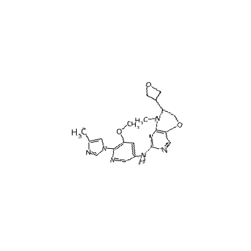 COc1cc(Nc2ncc3c(n2)N(C)C(C2COC2)CO3)cnc1-n1cnc(C)c1